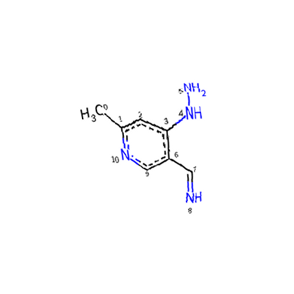 Cc1cc(NN)c(C=N)cn1